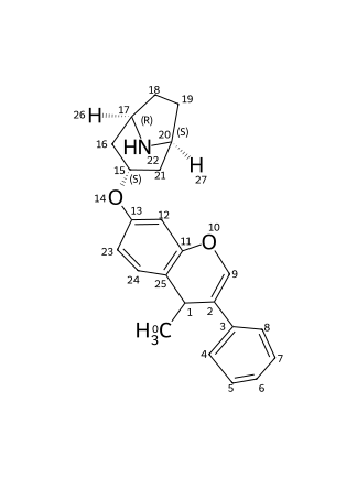 CC1C(c2ccccc2)=COc2cc(O[C@@H]3C[C@H]4CC[C@@H](C3)N4)ccc21